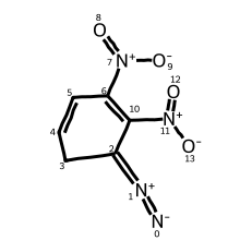 [N-]=[N+]=C1CC=CC([N+](=O)[O-])=C1[N+](=O)[O-]